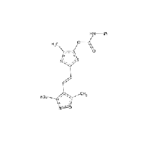 CCCCc1noc(C)c1/C=C/c1nc(C)c(OC(=O)NC(C)C)s1